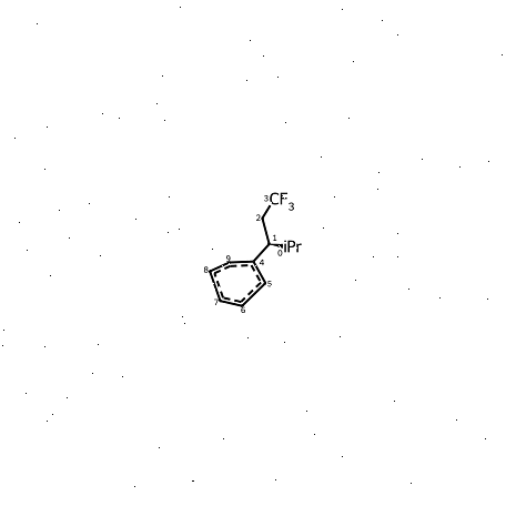 CC(C)[C@H](CC(F)(F)F)c1ccccc1